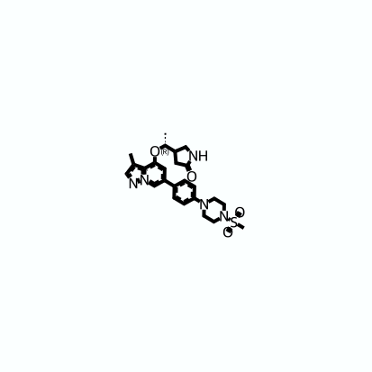 Cc1cnn2cc(-c3ccc(N4CCN(S(C)(=O)=O)CC4)cc3)cc(O[C@H](C)C3CNC(=O)C3)c12